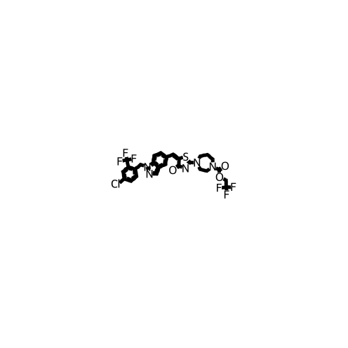 O=C1N=C(N2CCCN(C(=O)OCC(F)(F)F)CC2)SC1=Cc1ccc2c(cnn2Cc2ccc(Cl)cc2C(F)(F)F)c1